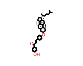 CC(C)CCCC(C)[C@H]1CC[C@H]2[C@@H]3CCC4CC(Oc5ccc(/C=C/C(=O)c6ccc(O)cc6)cc5)CC[C@]4(C)[C@H]3CC[C@]12C